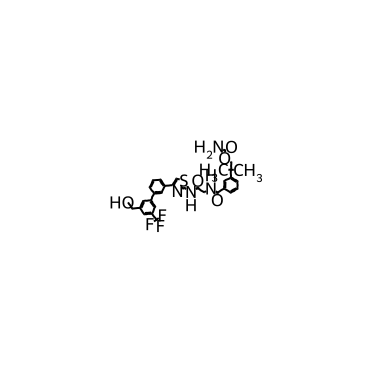 CC(C)(COC(N)=O)c1cccc(C(=O)NCC(=O)Nc2nc(-c3cccc(-c4cc(CO)cc(C(F)(F)F)c4)c3)cs2)c1